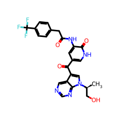 C[C@@H](CO)n1cc(C(=O)c2c[nH]c(=O)c(NC(=O)Cc3ccc(C(F)(F)F)cc3)c2)c2cncnc21